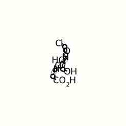 O=C(O)c1cccc([C@@H]2CCN(C(=O)c3ccc(O)cc3OC[C@@H](O)CN3CCC4(CC3)Cc3cc(Cl)ccc3O4)C2)c1